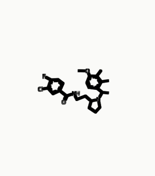 COc1ccc(C(C)N2CCCC2CCNC(=O)c2ccc(F)c(Cl)c2)c(C)c1C